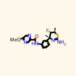 COc1cnc(C(=O)Nc2cccc([C@@]3(C)N=C(N)S[C@H](C)[C@@H]3F)c2)cn1